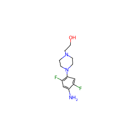 Nc1cc(F)c(N2CCN(CCO)CC2)cc1F